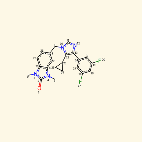 Cn1c(=O)n(C)c2cc(Cn3cnc(-c4cc(F)cc(F)c4)c3C3CC3)ccc21